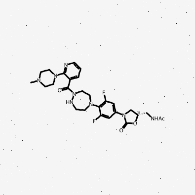 CC(=O)NC[C@H]1CN(c2cc(F)c(N3CCNN(C(=O)c4cccnc4N4CCN(C)CC4)CC3)c(F)c2)C(=O)O1